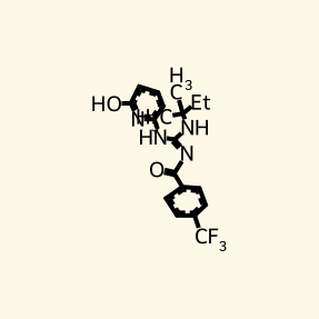 CCC(C)(C)N/C(=N/C(=O)c1ccc(C(F)(F)F)cc1)Nc1cccc(O)n1